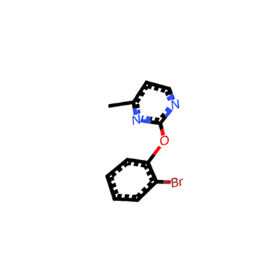 Cc1ccnc(Oc2ccccc2Br)n1